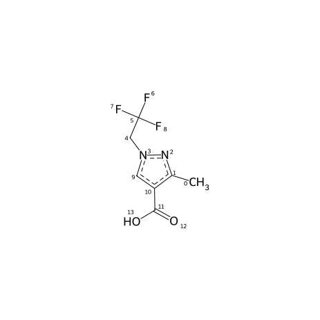 Cc1nn(CC(F)(F)F)cc1C(=O)O